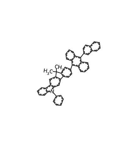 CC1(C)c2cc(-c3c4ccccc4c(-c4ccc5ccccc5c4)c4ccccc34)ccc2-c2cc3c(cc21)c1ccccc1n3-c1ccccc1